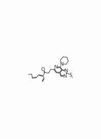 C=C/C(=C\C=C/CC)C(=O)C[C@H](C)c1cc2cnc(SC)nc2c(N2CCCCC2)n1